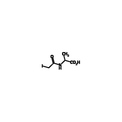 CC(NC(=O)CI)C(=O)O